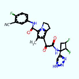 Cc1c(C(=O)C(=O)NC2(c3c[nH]nn3)CC(F)C2F)c2n(c1C(=O)Nc1ccc(F)c(C#N)c1)CCC2